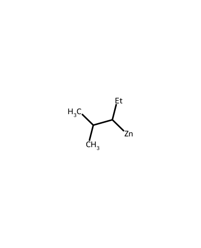 CC[CH]([Zn])C(C)C